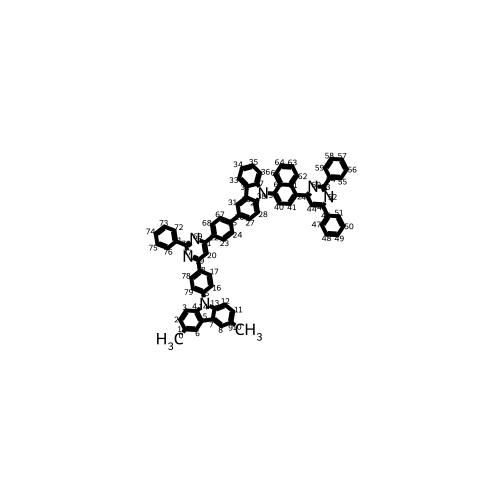 Cc1ccc2c(c1)c1cc(C)ccc1n2-c1ccc(-c2cc(-c3ccc(-c4ccc5c(c4)c4ccccc4n5-c4ccc(-c5cc(-c6ccccc6)nc(-c6ccccc6)n5)c5ccccc45)cc3)nc(-c3ccccc3)n2)cc1